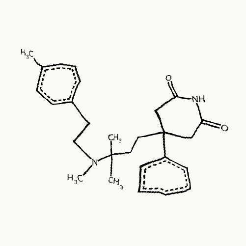 Cc1ccc(CCN(C)C(C)(C)CCC2(c3ccccc3)CC(=O)NC(=O)C2)cc1